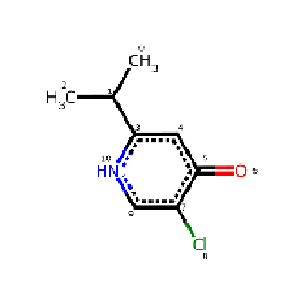 CC(C)c1cc(=O)c(Cl)c[nH]1